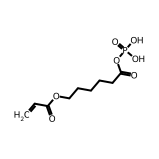 C=CC(=O)OCCCCCC(=O)OP(=O)(O)O